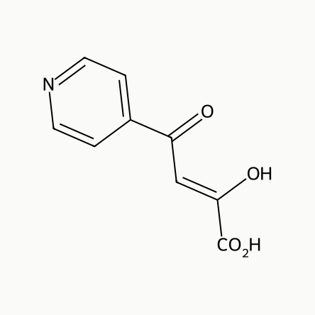 O=C(O)C(O)=CC(=O)c1ccncc1